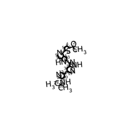 CC(=O)c1ccc(-c2nccc3[nH]c(-c4n[nH]c5ncc(-c6cncc(NC(C)C)c6)cc45)cc23)s1